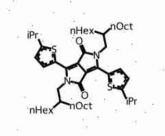 CCCCCCCCC(CCCCCC)CN1C(=O)C2=C(c3ccc(C(C)C)s3)N(CC(CCCCCC)CCCCCCCC)C(=O)C2=C1c1ccc(C(C)C)s1